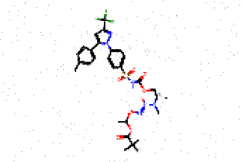 Cc1ccc(-c2cc(C(F)(F)F)nn2-c2ccc(S(=O)(=O)NC(=O)OC[C@H](C)N(C)/[N+]([O-])=N/OC(C)OC(=O)C(C)(C)C)cc2)cc1